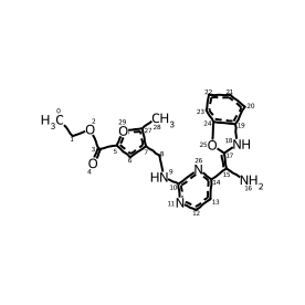 CCOC(=O)c1cc(CNc2nccc(/C(N)=C3/Nc4ccccc4O3)n2)c(C)o1